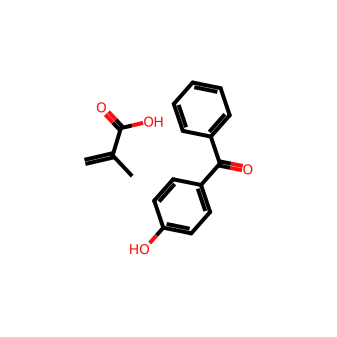 C=C(C)C(=O)O.O=C(c1ccccc1)c1ccc(O)cc1